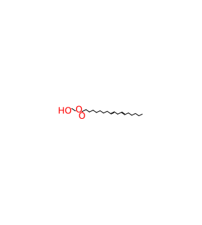 CCCCCC=CCC=CCCCCCCCC(=O)OCCO